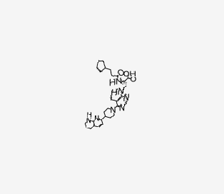 CCc1c(NC[C@H](NC(=O)CCC2CCCC2)C(=O)O)ncnc1N1CCC(c2ccc3c(n2)NCCC3)CC1